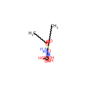 CCCCCCCCCCCCC(=O)OCC(CSCC(N)C(=O)Nc1cn([C@H]2OC(CO)C(O)C(O)C2O)nn1)OC(=O)CCCCCCCCCCCC